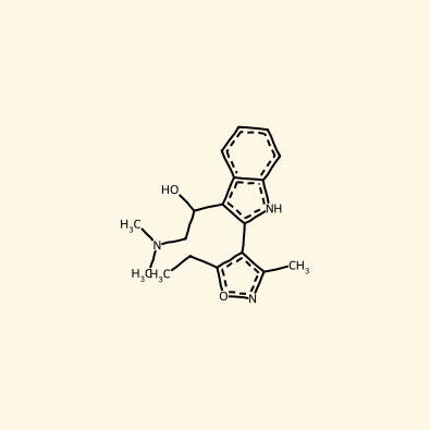 CCc1onc(C)c1-c1[nH]c2ccccc2c1C(O)CN(C)C